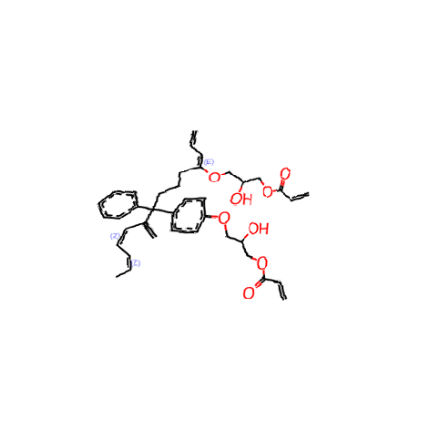 C=C/C=C(\CCCC(C(=C)/C=C\C=C/C)(c1ccccc1)c1ccc(OCC(O)COC(=O)C=C)cc1)OCC(O)COC(=O)C=C